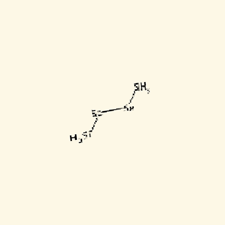 [SiH3][Se][Se][SiH3]